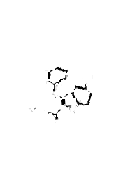 CNC(=O)c1[nH]c2ccc(Cl)cc2c1Sc1ccccc1